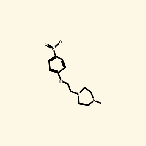 CN1CCN(CCNc2ccc([N+](=O)[O-])cc2)CC1